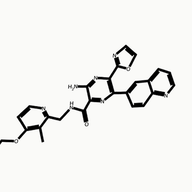 Cc1c(OCC(F)(F)F)ccnc1CNC(=O)c1nc(-c2ccc3ncccc3c2)c(-c2ncco2)nc1N